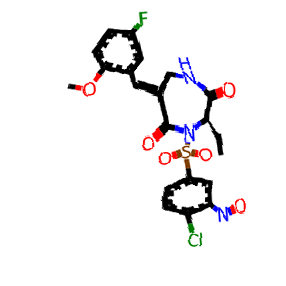 CC[C@@H]1C(=O)NC/C(=C\c2cc(F)ccc2OC)C(=O)N1S(=O)(=O)c1ccc(Cl)c(N=O)c1